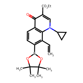 C=Cc1c(B2OC(C)(C)C(C)(C)O2)ccc2c(=O)c(C(=O)OCC)cn(C3CC3)c12